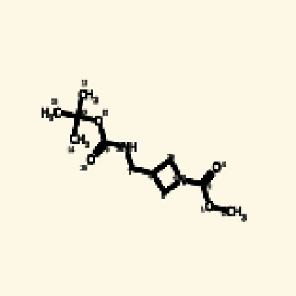 COC(=O)N1CC(CNC(=O)OC(C)(C)C)C1